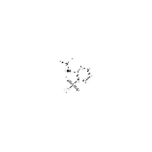 CC(C)Nc1ccccc1S(=O)(=O)O